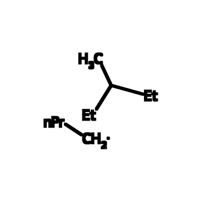 CCC(C)CC.[CH2]CCC